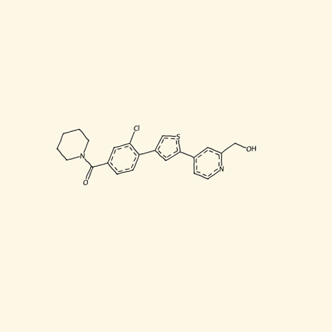 O=C(c1ccc(-c2csc(-c3ccnc(CO)c3)c2)c(Cl)c1)N1CCCCC1